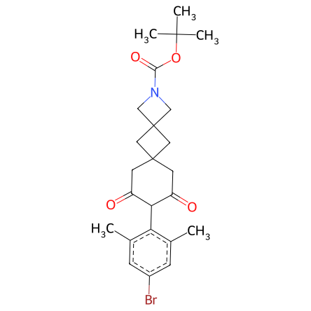 Cc1cc(Br)cc(C)c1C1C(=O)CC2(CC1=O)CC1(CN(C(=O)OC(C)(C)C)C1)C2